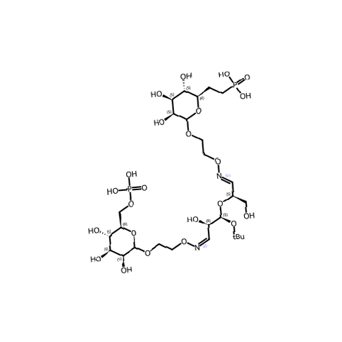 CC(C)(C)O[C@H](O[C@@H](/C=N/OCCOC1O[C@H](CCP(=O)(O)O)[C@@H](O)[C@H](O)[C@@H]1O)CO)[C@H](O)/C=N\OCCOC1O[C@H](COP(=O)(O)O)[C@@H](O)[C@H](O)[C@@H]1O